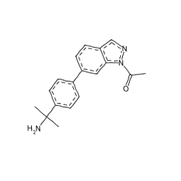 CC(=O)n1ncc2ccc(-c3ccc(C(C)(C)N)cc3)cc21